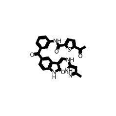 CC(=O)c1ccc(C(=O)Nc2cccc(C(=O)c3ccc4c(c3)/C(=C/Nc3cc(C)n[nH]3)C(=O)N4)c2)s1